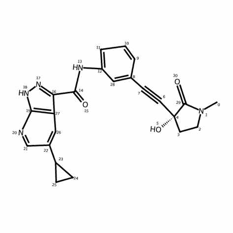 CN1CC[C@@](O)(C#Cc2cccc(NC(=O)c3n[nH]c4ncc(C5CC5)cc34)c2)C1=O